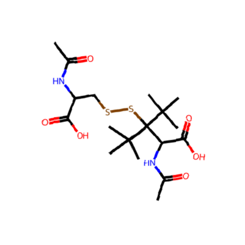 CC(=O)NC(CSSC(C(NC(C)=O)C(=O)O)(C(C)(C)C)C(C)(C)C)C(=O)O